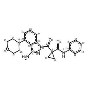 Nc1nn(C(=O)C2(C(=O)Nc3ccccc3)CC2)c2cccc(N3CCOCC3)c12